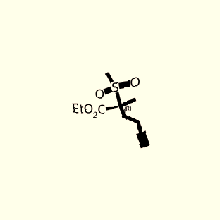 C#CCC[C@](C)(C(=O)OCC)S(C)(=O)=O